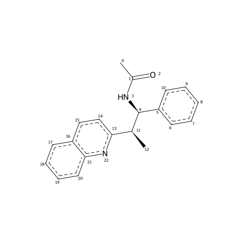 CC(=O)N[C@@H](c1ccccc1)[C@@H](C)c1ccc2ccccc2n1